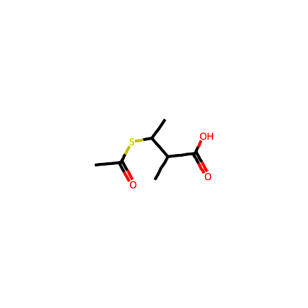 CC(=O)SC(C)C(C)C(=O)O